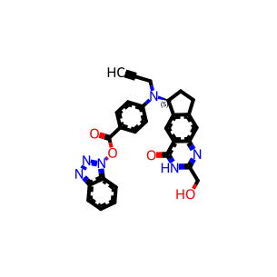 C#CCN(c1ccc(C(=O)On2nnc3ccccc32)cc1)[C@H]1CCc2cc3nc(CO)[nH]c(=O)c3cc21